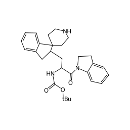 CC(C)(C)OC(=O)NC(CC1Cc2ccccc2C12CCNCC2)C(=O)N1CCc2ccccc21